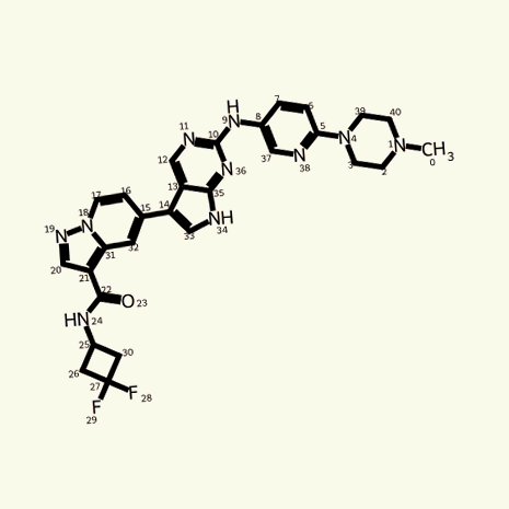 CN1CCN(c2ccc(Nc3ncc4c(-c5ccn6ncc(C(=O)NC7CC(F)(F)C7)c6c5)c[nH]c4n3)cn2)CC1